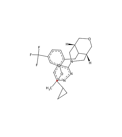 Cc1ccc(N2C[C@H]3COC[C@@H](C2)C3Cc2ccc(C(F)(F)F)cc2OCC2CC2)nn1